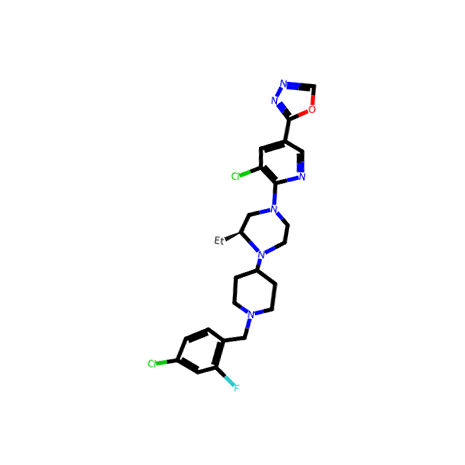 CC[C@H]1CN(c2ncc(-c3nnco3)cc2Cl)CCN1C1CCN(Cc2ccc(Cl)cc2F)CC1